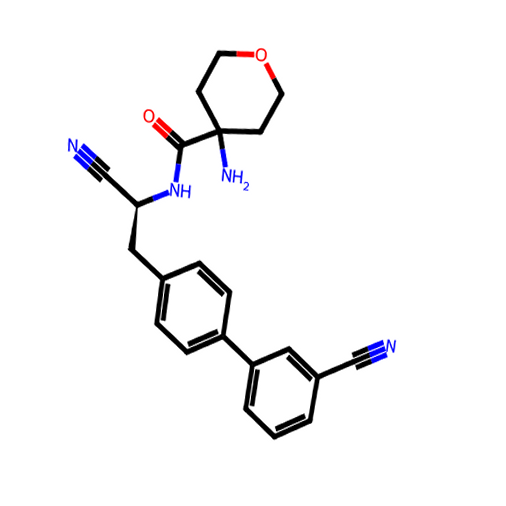 N#Cc1cccc(-c2ccc(C[C@@H](C#N)NC(=O)C3(N)CCOCC3)cc2)c1